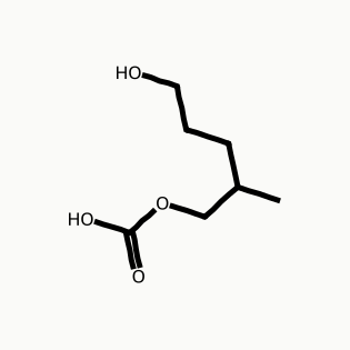 CC(CCCO)COC(=O)O